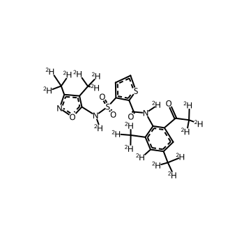 [2H]c1c(C([2H])([2H])[2H])cc(C(=O)C([2H])([2H])[2H])c(N([2H])C(=O)c2sccc2S(=O)(=O)N([2H])c2onc(C([2H])([2H])[2H])c2C([2H])([2H])[2H])c1C([2H])([2H])[2H]